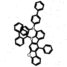 c1ccc(-c2ccc(N(c3ccccc3)c3cccc4c5c(-c6ccccc6)c6c(cc5n(-c5cc7ccccc7c7ccccc57)c34)oc3ccccc36)cc2)cc1